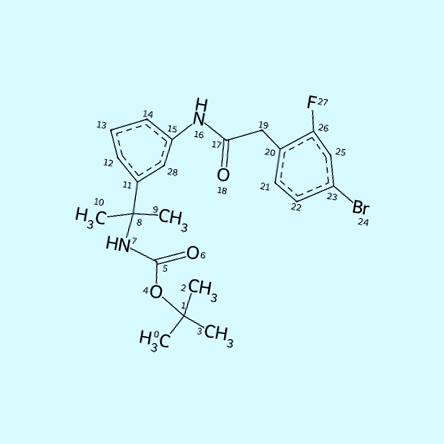 CC(C)(C)OC(=O)NC(C)(C)c1cccc(NC(=O)Cc2ccc(Br)cc2F)c1